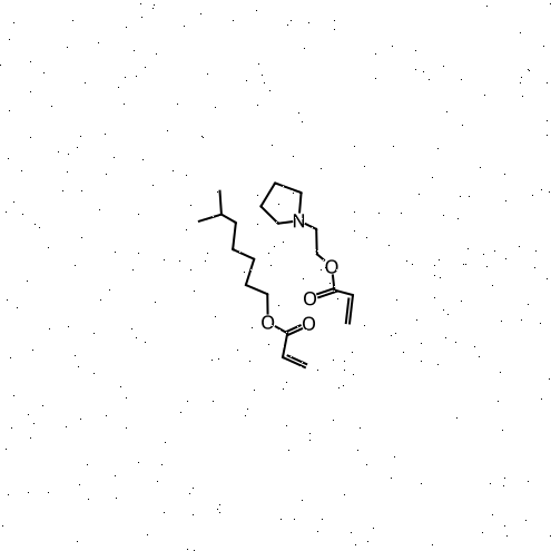 C=CC(=O)OCCCCCC(C)C.C=CC(=O)OCCN1CCCC1